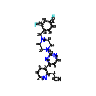 N#CCc1ncccc1-c1ccnc(N2CCN(Cc3ccc(F)cc3F)CC2)n1